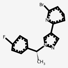 C[C@H](c1ccc(F)cc1)n1cc(-c2cccc(Br)n2)cn1